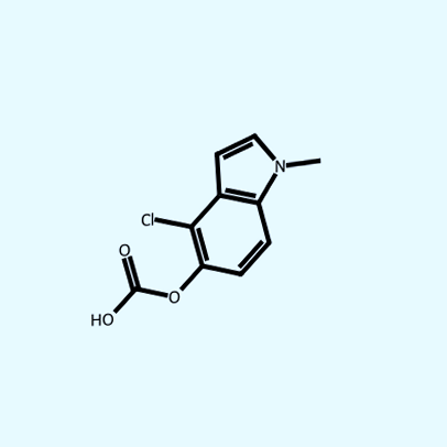 Cn1ccc2c(Cl)c(OC(=O)O)ccc21